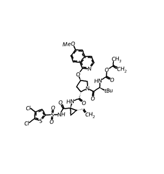 C=C[C@@H]1C[C@]1(NC(=O)[C@@H]1C[C@@H](Oc2nccc3cc(OC)ccc23)CN1C(=O)[C@@H](NC(=O)OC(=C)C)C(C)(C)C)C(=O)NS(=O)(=O)c1cc(Cl)c(Cl)s1